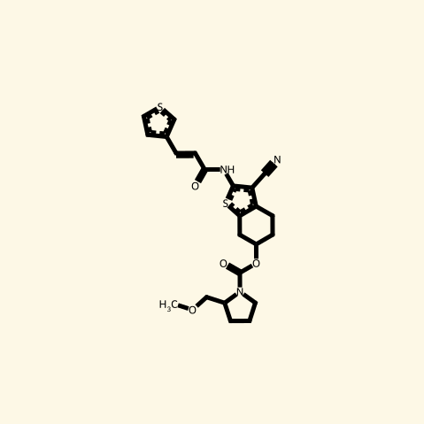 COCC1CCCN1C(=O)OC1CCc2c(sc(NC(=O)C=Cc3ccsc3)c2C#N)C1